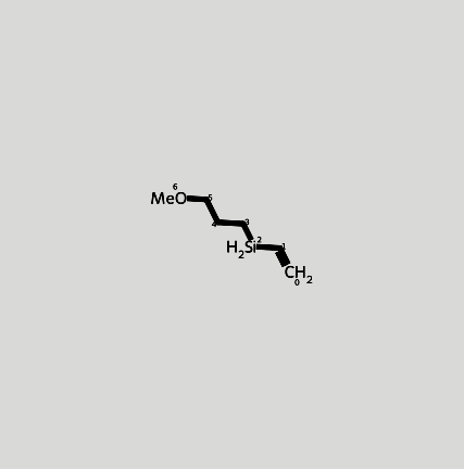 C=C[SiH2]CCCOC